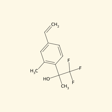 C=Cc1ccc(C(C)(O)C(F)(F)F)c(C)c1